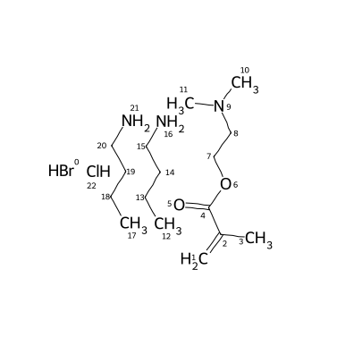 Br.C=C(C)C(=O)OCCN(C)C.CCCCN.CCCCN.Cl